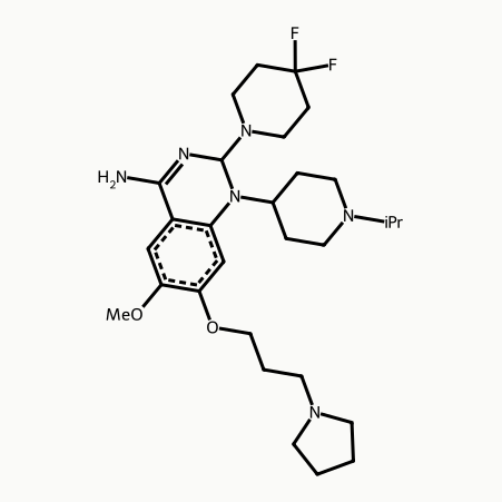 COc1cc2c(cc1OCCCN1CCCC1)N(C1CCN(C(C)C)CC1)C(N1CCC(F)(F)CC1)N=C2N